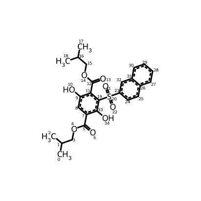 CC(C)COC(=O)c1cc(O)c(C(=O)OCC(C)C)c(S(=O)(=O)c2ccc3ccccc3c2)c1O